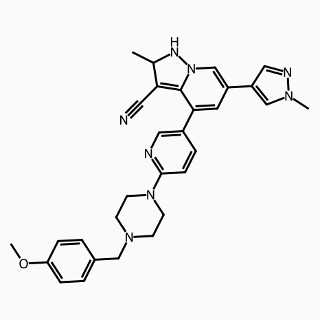 COc1ccc(CN2CCN(c3ccc(C4=CC(c5cnn(C)c5)=CN5NC(C)C(C#N)=C45)cn3)CC2)cc1